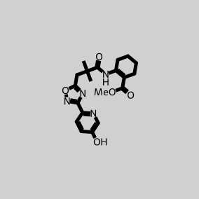 COC(=O)C1=C(NC(=O)C(C)(C)Cc2nc(-c3ccc(O)cn3)no2)CCCC1